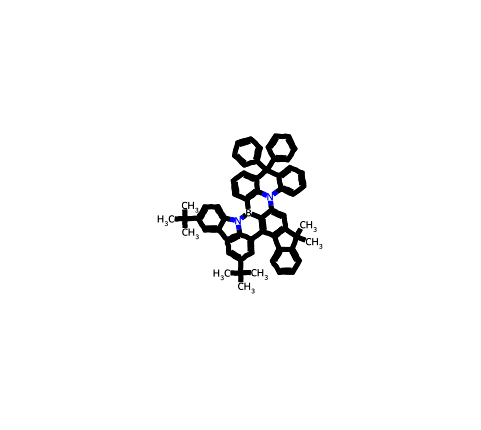 CC(C)(C)c1ccc2c(c1)c1cc(C(C)(C)C)cc3c1n2B1c2cccc4c2N(c2ccccc2C4(c2ccccc2)c2ccccc2)c2cc4c(c-3c21)-c1ccccc1C4(C)C